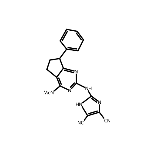 CNc1nc(Nc2nc(C#N)c(C#N)[nH]2)nc2c1CCC2c1ccccc1